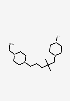 CC(C)N1CCN(CC(C)(C)CCCN2CCN(CC(C)(C)C)CC2)CC1